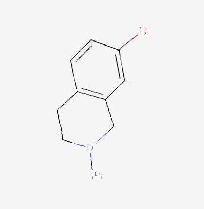 CC(C)N1CCc2ccc(Br)cc2C1